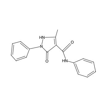 Cc1[nH]n(-c2ccccc2)c(=O)c1C(=O)Nc1ccccc1